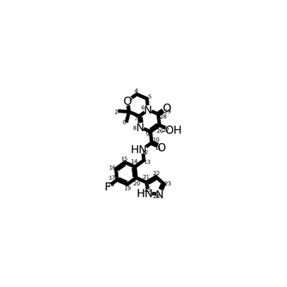 CC1(C)OCCn2c1nc(C(=O)NCc1ccc(F)cc1-c1ccn[nH]1)c(O)c2=O